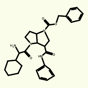 NC(C(=O)N1CCC2C1C(C(=O)Nc1ccccc1)CN2C(=O)OCc1ccccc1)C1CCCCC1